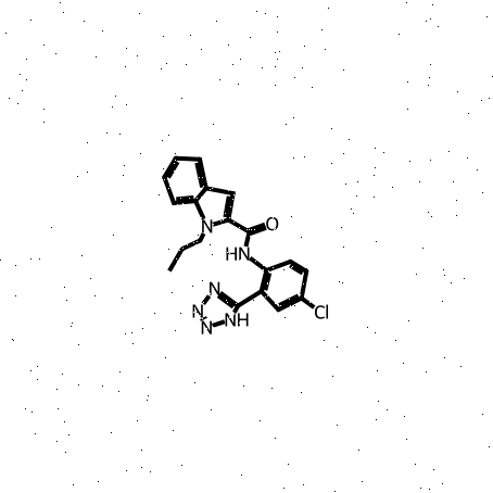 CCCn1c(C(=O)Nc2ccc(Cl)cc2-c2nnn[nH]2)cc2ccccc21